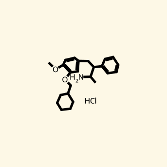 COc1ccc(CC(c2ccccc2)C(C)N)cc1OCC1CCCCC1.Cl